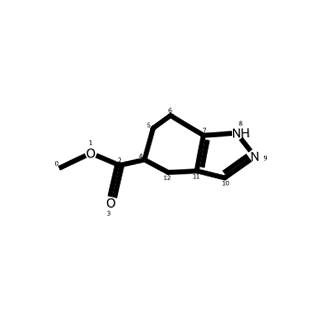 COC(=O)C1CCc2[nH]ncc2C1